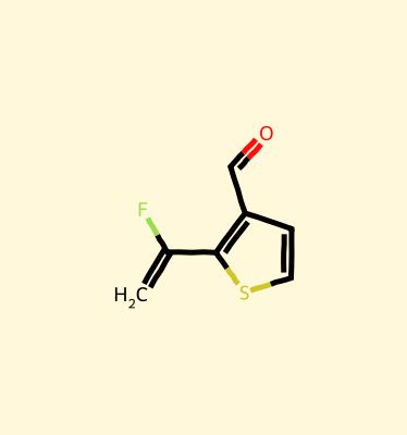 C=C(F)c1sccc1C=O